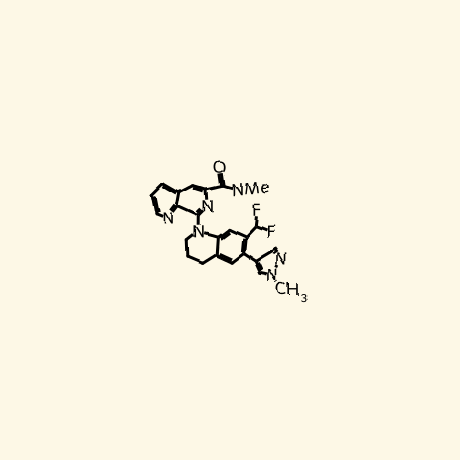 CNC(=O)c1cc2cccnc2c(N2CCCc3cc(-c4cnn(C)c4)c(C(F)F)cc32)n1